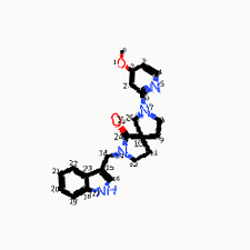 COc1ccnc(N2CCC3(CCN(Cc4c[nH]c5ccccc45)C3=O)C2)c1